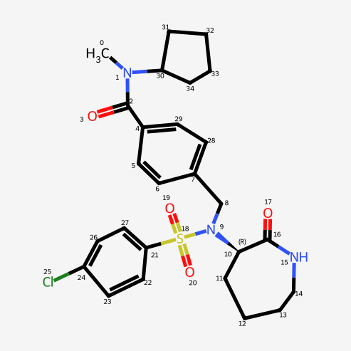 CN(C(=O)c1ccc(CN([C@@H]2CCCCNC2=O)S(=O)(=O)c2ccc(Cl)cc2)cc1)C1CCCC1